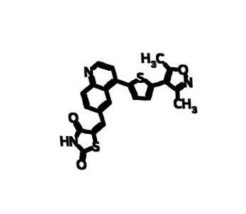 Cc1noc(C)c1-c1ccc(-c2ccnc3ccc(C=C4SC(=O)NC4=O)cc23)s1